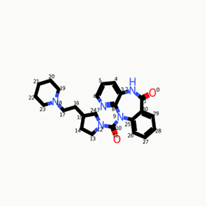 O=C1Nc2cccnc2N(C(=O)N2CCC(CCN3CCCCC3)C2)c2ccccc21